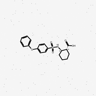 O=C(O)[C@@H]1CCCC[C@H]1NS(=O)(=O)c1ccc(Oc2ccccc2)cc1